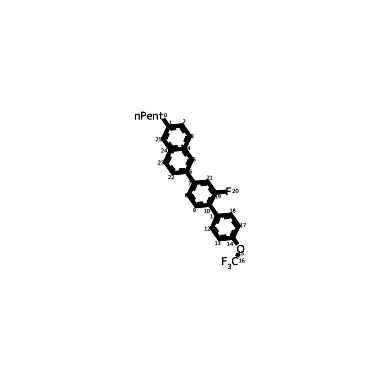 CCCCCc1ccc2cc(-c3ccc(-c4ccc(OC(F)(F)F)cc4)c(F)c3)ccc2c1